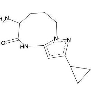 NC1CCCn2nc(C3CC3)cc2NC1=O